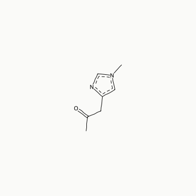 CC(=O)Cc1cn(C)cn1